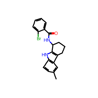 Cc1ccc2[nH]c3c(c2c1)CCCC3NC(=O)c1ccccc1Br